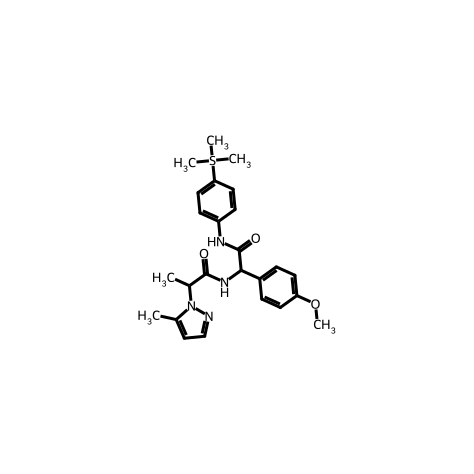 COc1ccc(C(NC(=O)C(C)n2nccc2C)C(=O)Nc2ccc(S(C)(C)C)cc2)cc1